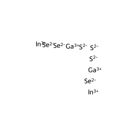 [Ga+3].[Ga+3].[In+3].[In+3].[S-2].[S-2].[S-2].[Se-2].[Se-2].[Se-2]